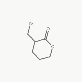 O=C1OCCCC1CBr